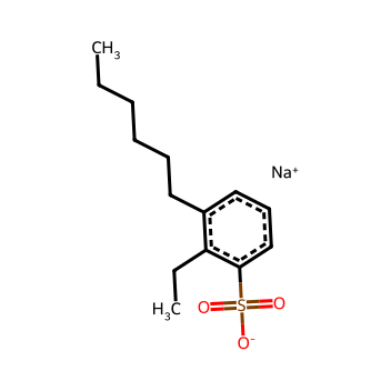 CCCCCCc1cccc(S(=O)(=O)[O-])c1CC.[Na+]